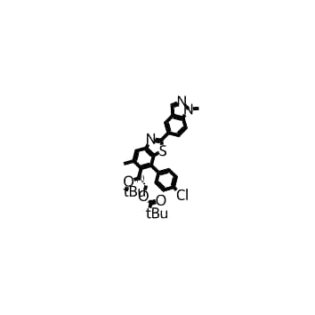 Cc1cc2nc(-c3ccc4c(cnn4C)c3)sc2c(-c2ccc(Cl)cc2)c1[C@H](COC(=O)C(C)(C)C)OC(C)(C)C